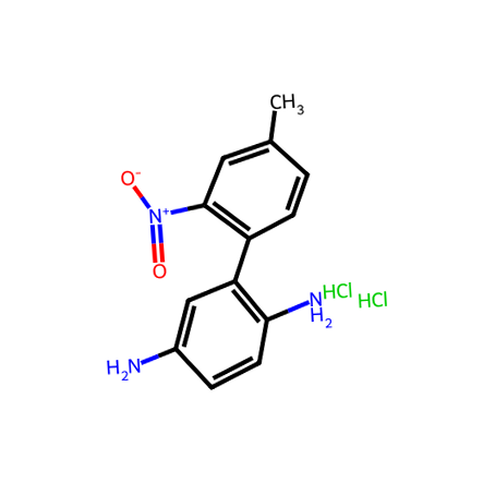 Cc1ccc(-c2cc(N)ccc2N)c([N+](=O)[O-])c1.Cl.Cl